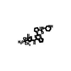 CC(C)(C)c1cc(Nc2nc(N3CCC[C@H]3C(=O)N[C@@H]3CCCNC3)nn3cccc23)n[nH]1